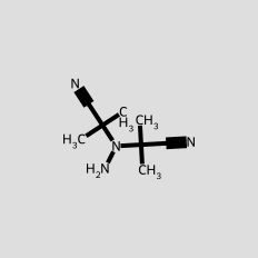 CC(C)(C#N)N(N)C(C)(C)C#N